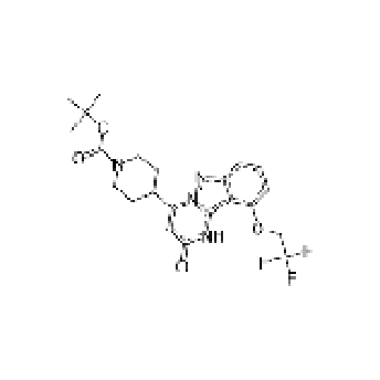 CC(C)(C)OC(=O)N1CCC(c2cc(=O)[nH]c3c4c(OCC(F)(F)F)cccc4nn23)CC1